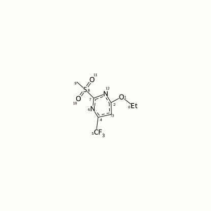 CCOc1[c]c(C(F)(F)F)nc(S(C)(=O)=O)n1